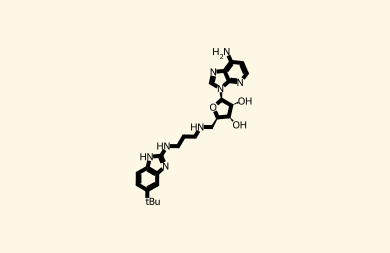 CC(C)(C)c1ccc2[nH]c(NCCCNC[C@H]3O[C@@H](n4cnc5c(N)ccnc54)[C@H](O)[C@@H]3O)nc2c1